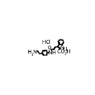 Cl.NCCc1ccc(NC(=O)C=Cc2c(C(=O)O)n(Cl)c3ccccc23)cc1